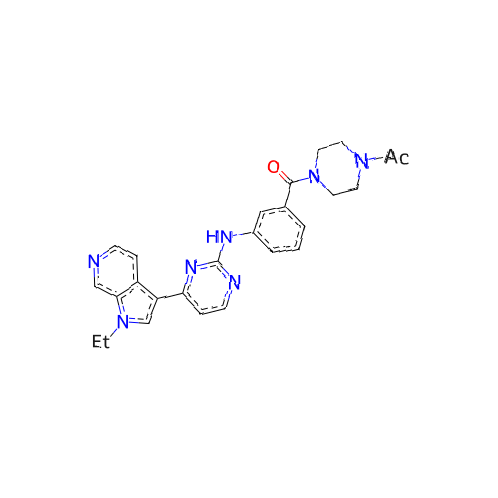 CCn1cc(-c2ccnc(Nc3cccc(C(=O)N4CCN(C(C)=O)CC4)c3)n2)c2ccncc21